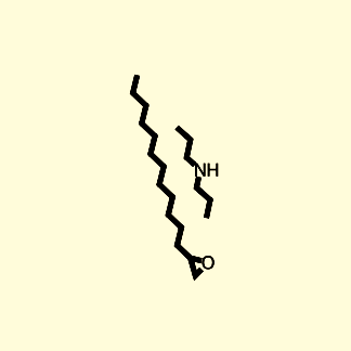 CCCCCCCCCCCCC1CO1.CCCNCCC